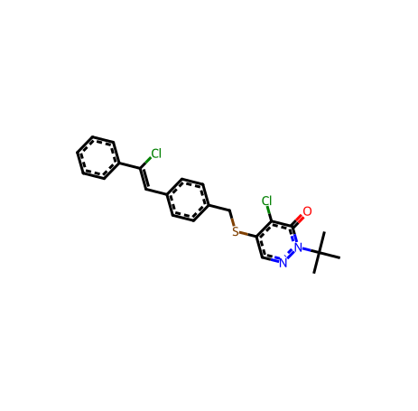 CC(C)(C)n1ncc(SCc2ccc(/C=C(\Cl)c3ccccc3)cc2)c(Cl)c1=O